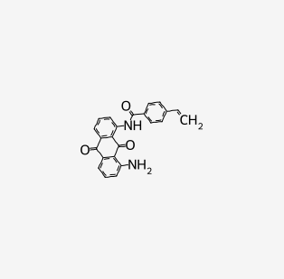 C=Cc1ccc(C(=O)Nc2cccc3c2C(=O)c2c(N)cccc2C3=O)cc1